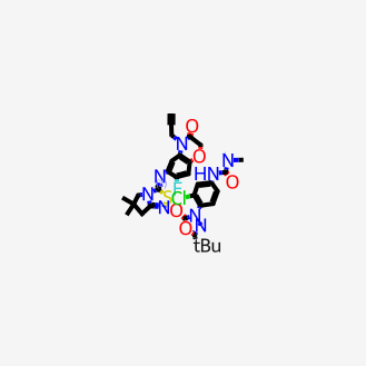 C#CCN1C(=O)COc2cc(F)c(/N=c3\snc4n3CC(C)(C)C4)cc21.CN(C)C(=O)Nc1ccc(-n2nc(C(C)(C)C)oc2=O)c(Cl)c1